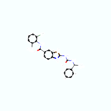 Cc1cccc(Cl)c1NC(=O)c1ccc2nc(NC(=O)NC(C)c3ccccc3)sc2c1